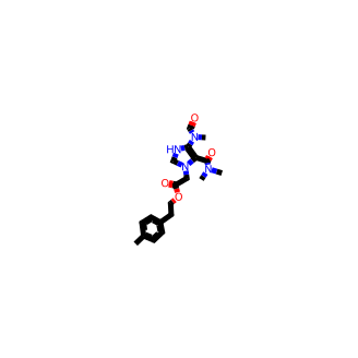 Cc1ccc(CCOC(=O)CN2CNC(N(C)C=O)=C2C(=O)N(C)C)cc1